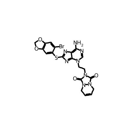 Nc1ncn(CCn2c(=O)n3n(c2=O)CC=CC3)c2nc(Sc3cc4c(cc3Br)OCO4)nc1-2